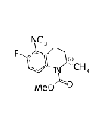 COC(=O)N1c2ccc(F)c([N+](=O)[O-])c2CC[C@@H]1C